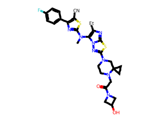 CCc1nc2sc(N3CCN(CC(=O)N4CC(O)C4)C4(CC4)C3)nn2c1N(C)c1nc(-c2ccc(F)cc2)c(C#N)s1